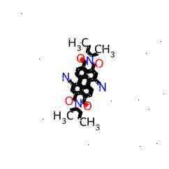 CCCC(CC)N1C(=O)c2ccc3c4c(C#N)cc5c6c(ccc(c7c(C#N)cc(c2c37)C1=O)c64)C(=O)N(C(CC)CCC)C5=O